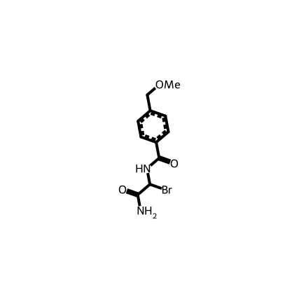 COCc1ccc(C(=O)NC(Br)C(N)=O)cc1